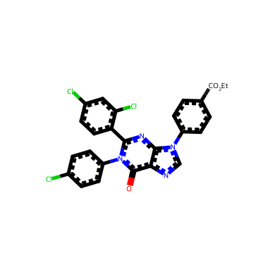 CCOC(=O)c1ccc(-n2cnc3c(=O)n(-c4ccc(Cl)cc4)c(-c4ccc(Cl)cc4Cl)nc32)cc1